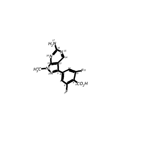 Cn1nc(-c2cc(F)c(C(=O)O)c(F)c2)c2cnc(N)nc21